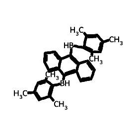 Cc1cc(C)c(Bc2c3ccccc3c(Bc3c(C)cc(C)cc3C)c3ccccc23)c(C)c1